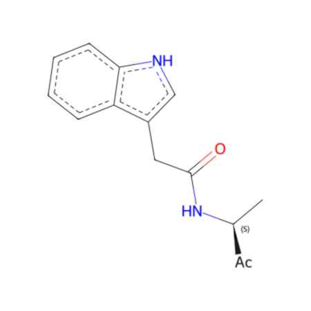 CC(=O)[C@H](C)NC(=O)Cc1c[nH]c2ccccc12